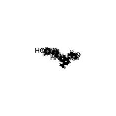 CC(C)c1ccc(N2CC(C)(CS(C)(=O)=O)C2)c2cnc(Nc3ccnc(N4CC[C@@H](O)[C@H](C)C4)n3)cc12